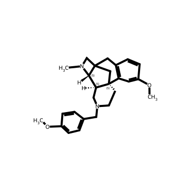 COc1ccc(CN2CC[C@]34CC5(Cc6ccc(OC)cc63)CN(C)[C@H]5[C@@H]4C2)cc1